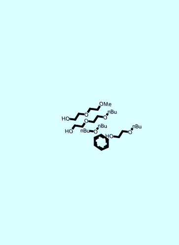 CCCCOCCCC.CCCCOCCO.CCCCOCCOCCO.COCCOCCO.c1ccccc1